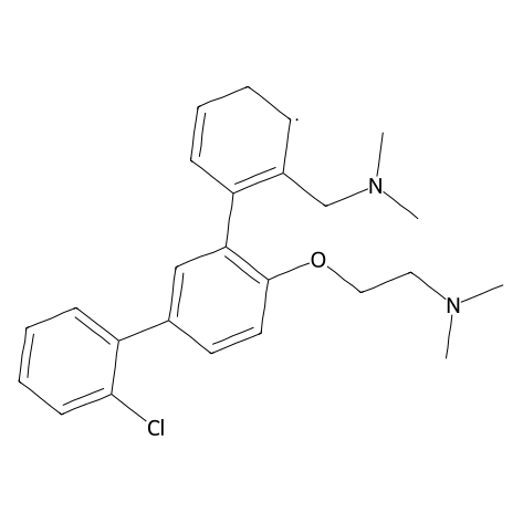 CN(C)CCOc1ccc(-c2ccccc2Cl)cc1C1=C(CN(C)C)[CH]CC=C1